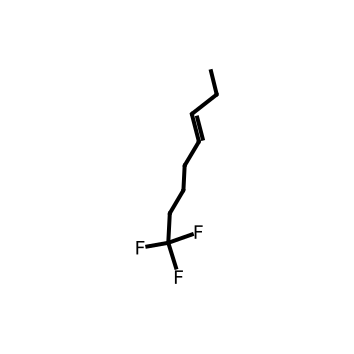 CCC=CCCCC(F)(F)F